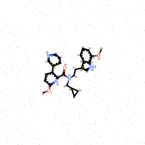 COc1ccc(-c2cccnc2)c(C(=O)N(CCc2c[nH]c3c(OC)cccc23)CC2CC2)n1